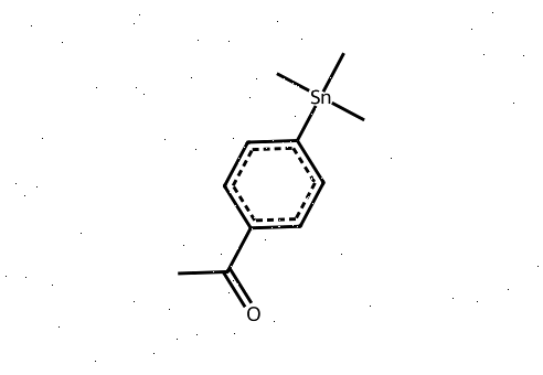 CC(=O)c1cc[c]([Sn]([CH3])([CH3])[CH3])cc1